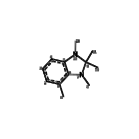 Cc1cccc2c1N(C)C(C)(C)N2C